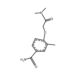 Cc1cc(C(N)=O)ccc1OCC(=O)N(C)C